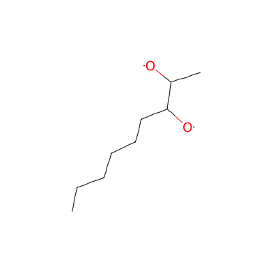 CCCCCCC([O])C(C)[O]